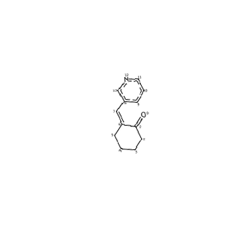 O=C1CCCCC1=Cc1cccnc1